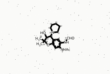 CC(=O)Nc1cc2c(cc1NC=O)C(N1CCCCC1)C(O)C(C)(C)O2